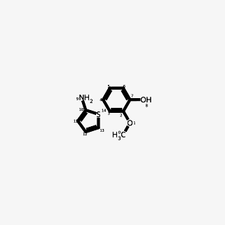 COc1ccccc1O.Nc1cccs1